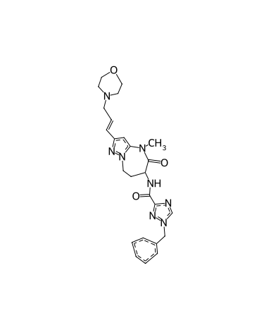 CN1C(=O)C(NC(=O)c2ncn(Cc3ccccc3)n2)CCn2nc(/C=C/CN3CCOCC3)cc21